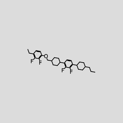 CCCC1CCC(c2ccc(C3CCC(COc4ccc(CC)c(F)c4F)CC3)c(F)c2F)CC1